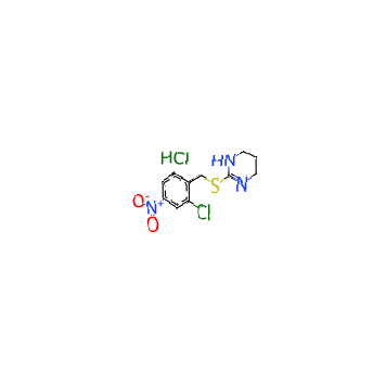 Cl.O=[N+]([O-])c1ccc(CSC2=NCCCN2)c(Cl)c1